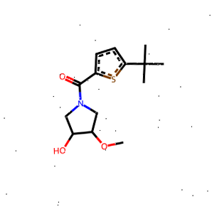 COC1CN(C(=O)c2ccc(C(C)(C)C)s2)CC1O